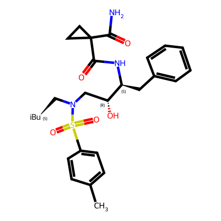 CC[C@H](C)CN(C[C@@H](O)[C@H](Cc1ccccc1)NC(=O)C1(C(N)=O)CC1)S(=O)(=O)c1ccc(C)cc1